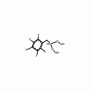 CCCO[SiH](Cc1c(F)c(F)c(F)c(F)c1F)OCCC